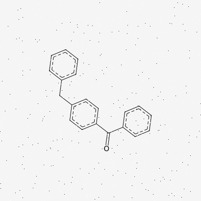 O=C(c1ccccc1)c1ccc(Cc2ccccc2)cc1